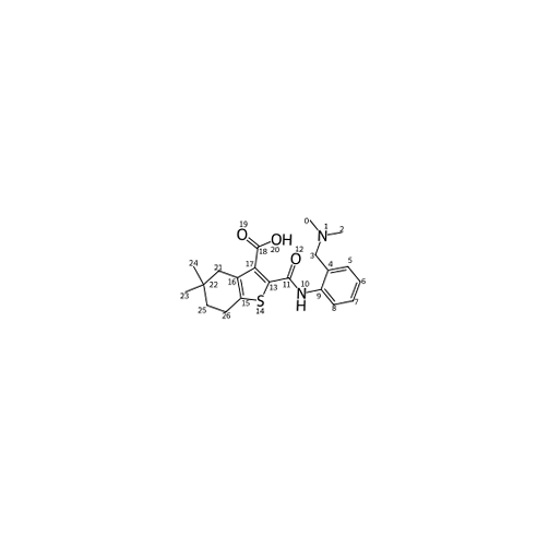 CN(C)Cc1ccccc1NC(=O)c1sc2c(c1C(=O)O)CC(C)(C)CC2